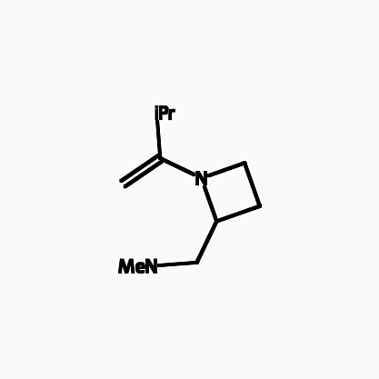 C=C(C(C)C)N1CCC1CNC